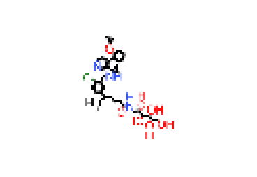 C[C@@H](CCCC(=O)NC[C@H](O)[C@@H](O)[C@H](O)[C@H](O)CO)c1ccc(Cl)c(CNC2(c3cnccc3-c3ccccc3OC3CC3)CC2)c1